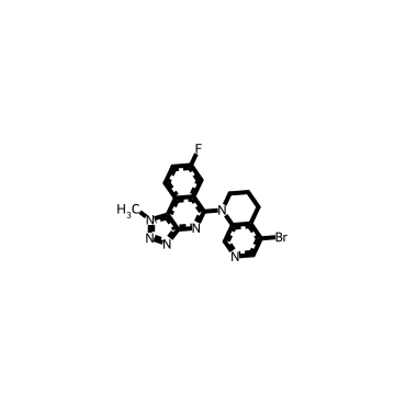 Cn1nnc2nc(N3CCCc4c(Br)cncc43)c3cc(F)ccc3c21